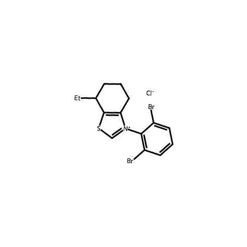 CCC1CCCc2c1sc[n+]2-c1c(Br)cccc1Br.[Cl-]